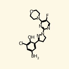 Bc1cc(Cl)c(O)c(C2=NN(c3ncc(F)c(N4CCOCC4)n3)CC2)c1